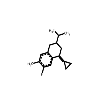 Cc1cc2c(cc1F)C(=C1CC1)CC(C(C)C)C2